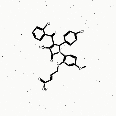 COc1ccc(N2C(=O)C(O)=C(C(=O)c3ccccc3Cl)C2c2ccc(Cl)cc2)c(OCC=CC(=O)O)c1